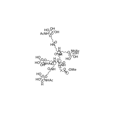 COC[C@@H]1CCCN1C(=O)CC(C)(C)CC(C)(C)CNC(=O)C(CCCCNC(=O)C(CCCCNC(=O)CCCCOC1OC(CO)C(O)C(O)C1NC(C)=O)NC(=O)CCCCOC1OC(CO)C(O)C(O)C1NC(C)=O)NC(=O)C(CCCCNC(=O)CCCCOC1OC(CO)C(O)C(O)C1NC(C)=O)NC(=O)CCCCOC1OC(CO)C(O)C(O)C1NC(C)=O